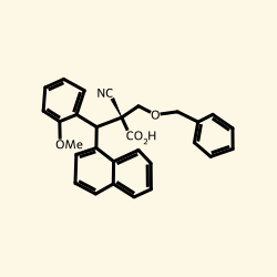 COc1ccccc1C(c1cccc2ccccc12)[C@](C#N)(COCc1ccccc1)C(=O)O